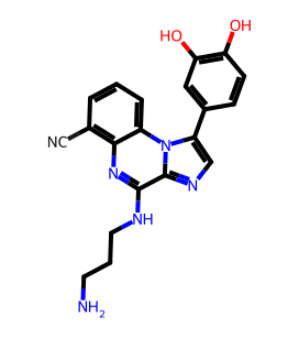 N#Cc1cccc2c1nc(NCCCN)c1ncc(-c3ccc(O)c(O)c3)n12